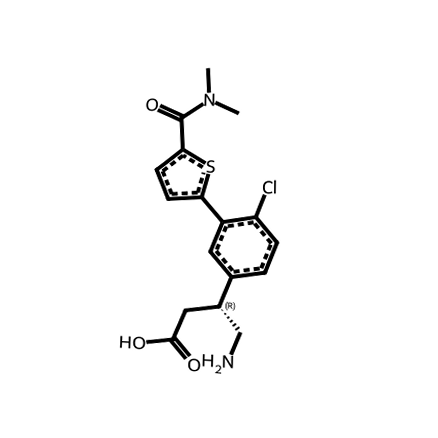 CN(C)C(=O)c1ccc(-c2cc([C@H](CN)CC(=O)O)ccc2Cl)s1